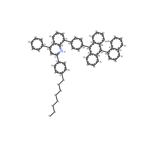 CCCCCCCCc1ccc(-c2cc(-c3ccccc3)c3cccc(-c4ccc(-c5c6ccccc6c(-c6cccc7ccccc67)c6ccccc56)cc4)c3n2)cc1